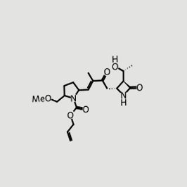 C=CCOC(=O)N1C(/C=C(\C)C(=O)C[C@H]2NC(=O)[C@@H]2[C@@H](C)O)CCC1COC